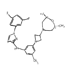 Cc1cc(Nc2ncn(-c3cc(F)cc(F)c3)n2)cc(N2CC(N3C[C@@H](C)O[C@H](C)C3)C2)c1